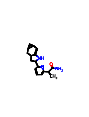 CC(C(N)=O)c1cccc(C2CC3CC4C=C4C=C3N2)n1